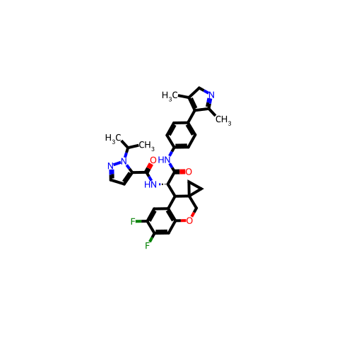 CC1=NCC(C)=C1c1ccc(NC(=O)[C@@H](NC(=O)c2ccnn2C(C)C)C2c3cc(F)c(F)cc3OCC23CC3)cc1